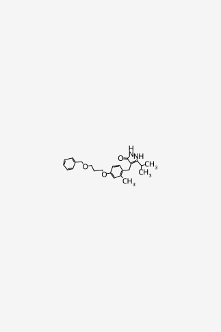 Cc1cc(OCCCOCc2ccccc2)ccc1Cc1c(C(C)C)[nH][nH]c1=O